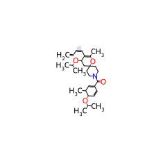 C=C/C=C\C1=C(C)OC2(CCN(C(=O)C3=CC(C)C(OC(C)C)C=C3)CC2)CC1OC(C)C